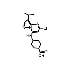 CC(C)c1cnn2c(NC3CCC(C(=O)O)CC3)cc(Cl)nc12